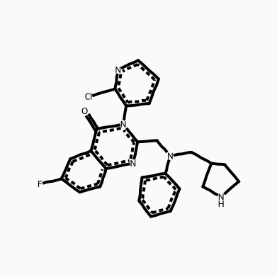 O=c1c2cc(F)ccc2nc(CN(CC2CCNC2)c2ccccc2)n1-c1cccnc1Cl